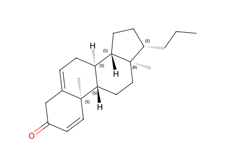 CCC[C@H]1CC[C@H]2[C@@H]3CC=C4CC(=O)C=C[C@]4(C)[C@H]3CC[C@]12C